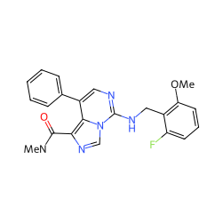 CNC(=O)c1ncn2c(NCc3c(F)cccc3OC)ncc(-c3ccccc3)c12